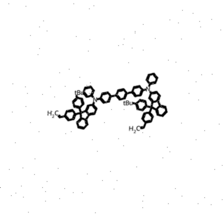 C=Cc1ccc(C2(c3ccc(C(C)(C)C)cc3)c3ccccc3-c3ccc(N(c4ccccc4)c4ccc(-c5ccc(-c6ccc(N(c7ccccc7)c7ccc8c(c7)C(c7ccc(C=C)cc7)(c7ccc(C(C)(C)C)cc7)c7ccccc7-8)cc6)cc5)cc4)cc32)cc1